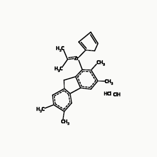 C[C](C)=[Zr]([C]1=CC=CC1)[c]1c(C)c(C)cc2c1Cc1cc(C)c(C)cc1-2.Cl.Cl